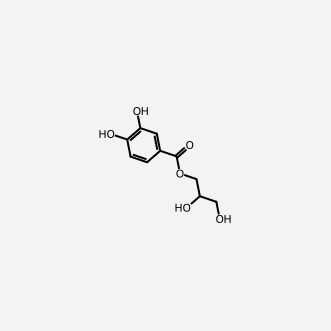 O=C(OCC(O)CO)c1ccc(O)c(O)c1